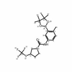 Cc1ccc(NC(=O)N2CCC(SC(F)(F)F)C2)cc1B1OC(C)(C)C(C)(C)O1